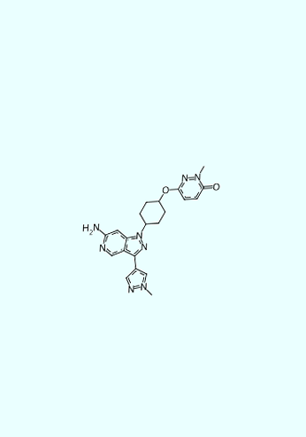 Cn1cc(-c2nn(C3CCC(Oc4ccc(=O)n(C)n4)CC3)c3cc(N)ncc23)cn1